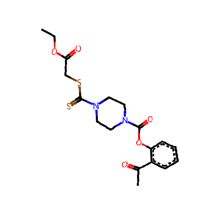 CCOC(=O)CSC(=S)N1CCN(C(=O)Oc2ccccc2C(C)=O)CC1